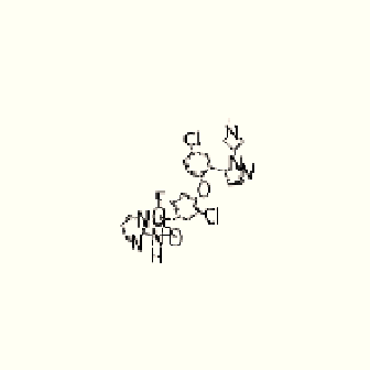 CN1CC(n2nccc2-c2cc(Cl)ccc2Oc2cc(F)c(S(=O)(=O)Nc3ncccn3)cc2Cl)C1